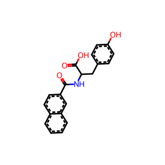 O=C(NC(Cc1ccc(O)cc1)C(=O)O)c1ccc2ccccc2c1